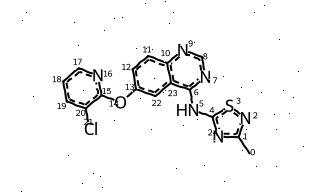 Cc1nsc(Nc2ncnc3ccc(Oc4ncccc4Cl)cc23)n1